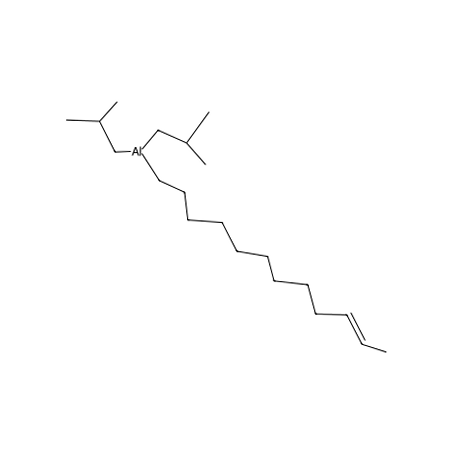 CC=CCCCCCCCC[CH2][Al]([CH2]C(C)C)[CH2]C(C)C